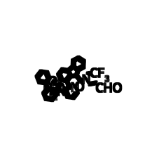 Nc1cccnc1-c1c(S(=O)(=O)c2ccccc2-c2ccccc2)ccc2c1C(C(=O)N(CCC=O)CC(F)(F)F)c1ccccc1-2